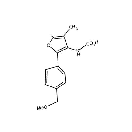 COCc1ccc(-c2onc(C)c2NC(=O)O)cc1